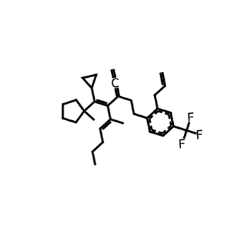 C=C=C(CCc1ccc(C(F)(F)F)cc1CC=C)C(/C(C)=C/CCC)=C(\C1CC1)C1(C)CCCC1